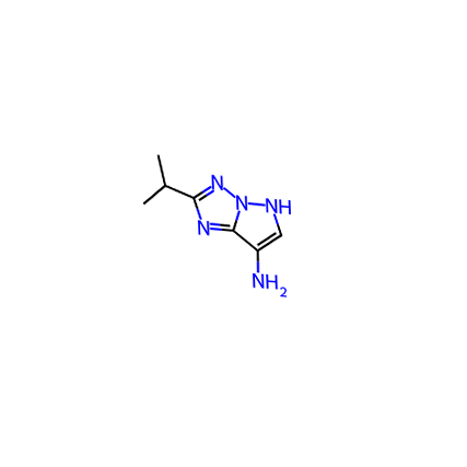 CC(C)c1nc2c(N)c[nH]n2n1